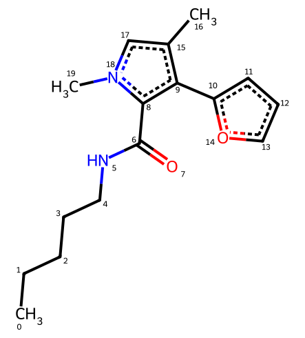 CCCCCNC(=O)c1c(-c2ccco2)c(C)cn1C